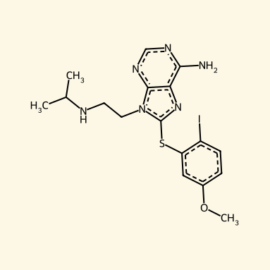 COc1ccc(I)c(Sc2nc3c(N)ncnc3n2CCNC(C)C)c1